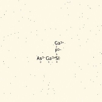 [As-3].[Ga+3].[Ga+3].[P-3].[Si]